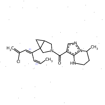 C=C(Cl)/C=C(\C=C/C)C12CC1CN(C(=O)c1cnn3c1NCCC3C)C2